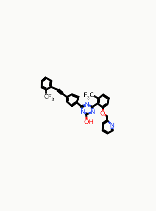 Oc1nc(-c2ccc(C#Cc3ccccc3C(F)(F)F)cc2)nc(-c2c(OCc3ccccn3)cccc2C(F)(F)F)n1